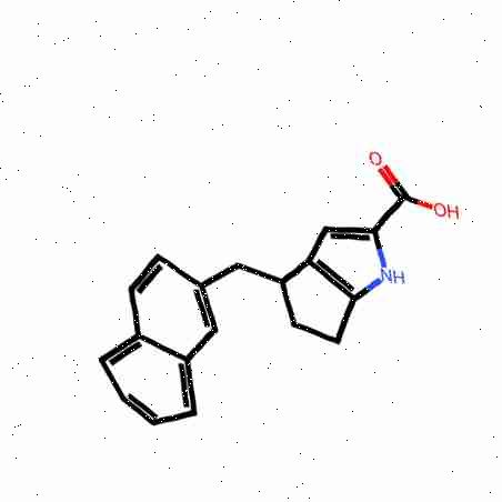 O=C(O)c1cc2c([nH]1)CCC2Cc1ccc2ccccc2c1